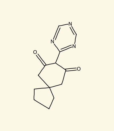 O=C1CC2(CCCC2)CC(=O)C1c1ncncn1